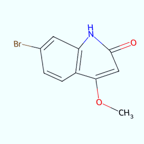 COc1cc(=O)[nH]c2cc(Br)ccc12